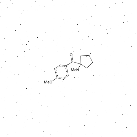 CNC1(C(=O)c2ccc(OC)cc2)CCCC1